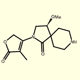 CO[C@@H]1CN(C2=C(C)C(=O)OC2)C(=O)C12CCNCC2